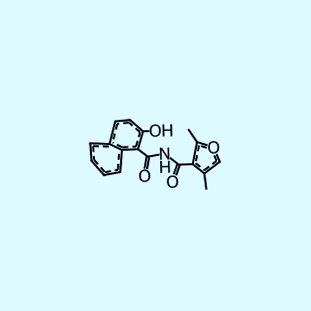 Cc1coc(C)c1C(=O)NC(=O)c1c(O)ccc2ccccc12